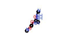 O=C(NCc1ccncc1)Nc1ccc(NC(=O)c2ccc(OCN3CCCCC3)cc2)c2ccccc12